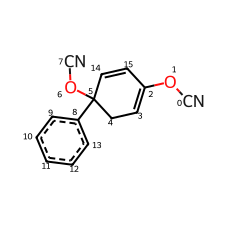 N#COC1=CCC(OC#N)(c2ccccc2)C=C1